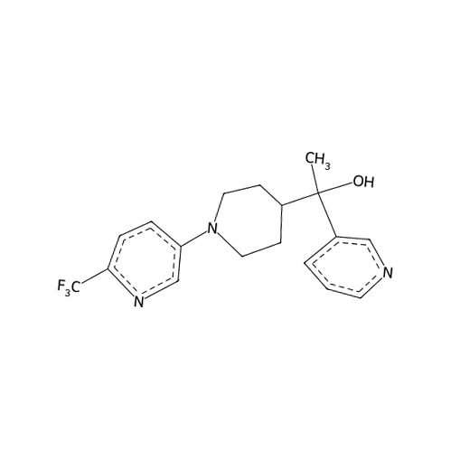 CC(O)(c1cccnc1)C1CCN(c2ccc(C(F)(F)F)nc2)CC1